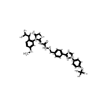 COc1ccc(C(F)C(F)F)c(N2C(=O)CS/C2=N\C(=O)NOCc2ccc(-c3ncn(-c4ccc(OC(F)(F)F)cc4)n3)cc2)c1